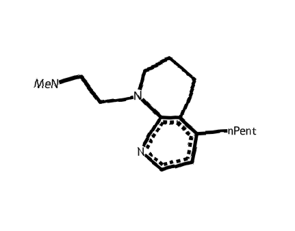 CCCCCc1ccnc2c1CCCN2CCNC